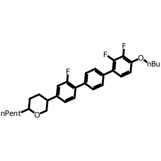 CCCCCC1CCC(c2ccc(-c3ccc(-c4ccc(OCCCC)c(F)c4F)cc3)c(F)c2)CO1